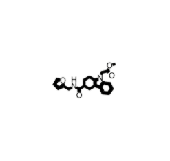 COC(=O)Cn1c2c(c3ccccc31)CC(C(=O)NCc1ccco1)CC2